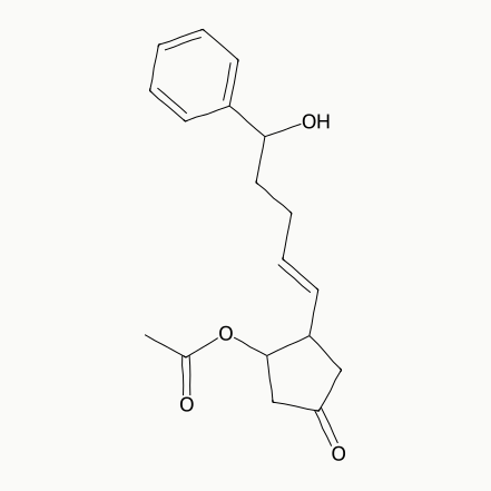 CC(=O)OC1CC(=O)CC1C=CCCC(O)c1ccccc1